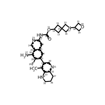 Cc1c(-c2cc3cc(NC(=O)OC4CC5(C4)CN(C4COC4)C5)ncc3c(N)c2F)cnc2c1NCCC2